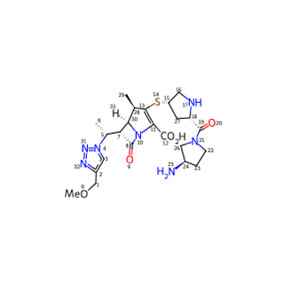 COCc1cn([C@H](C)[C@H]2C(=O)N3C(C(=O)O)=C(S[C@@H]4CN[C@H](C(=O)N5CC[C@@H](N)C5)C4)[C@H](C)[C@H]23)nn1